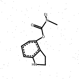 CCN(C)C(=O)Oc1cccc2c1CCN2